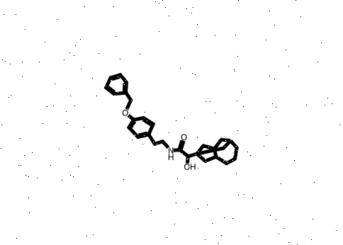 O=C(NCCc1ccc(OCc2ccccc2)cc1)C(O)C12CC3CCCC(C1)C(C3)C2